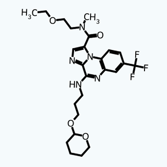 CCOCCN(C)C(=O)c1cnc2c(NCCCOC3CCCCO3)nc3cc(C(F)(F)F)ccc3n12